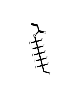 C=CC(=O)OC(F)(F)C(F)(F)C(F)(F)C(F)(F)C(F)(F)CF